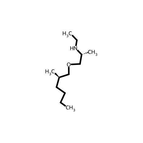 CCCC[C@@H](C)COC[C@@H](C)NCC